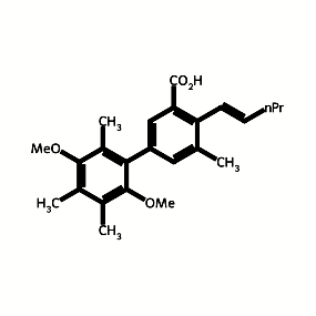 CCCC=Cc1c(C)cc(-c2c(C)c(OC)c(C)c(C)c2OC)cc1C(=O)O